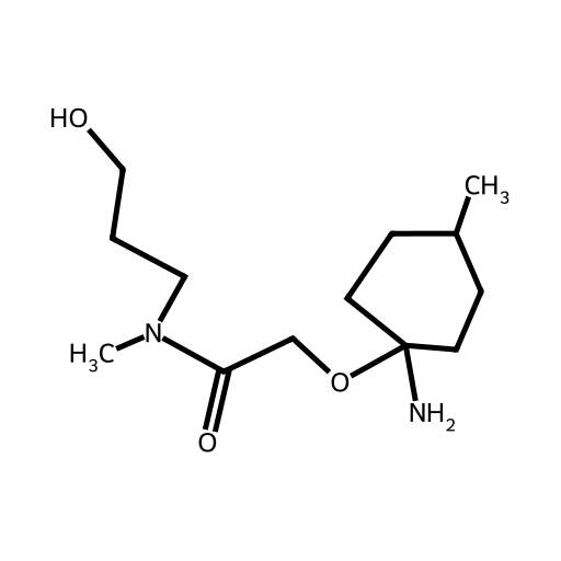 CC1CCC(N)(OCC(=O)N(C)CCCO)CC1